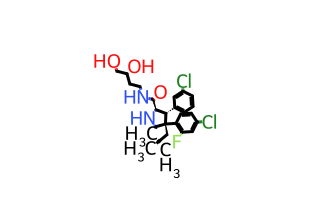 CC(C)(C)C[C@@]1(c2ccc(Cl)cc2F)CN[C@@H](C(=O)NCC[C@H](O)CO)[C@@H]1c1cccc(Cl)c1